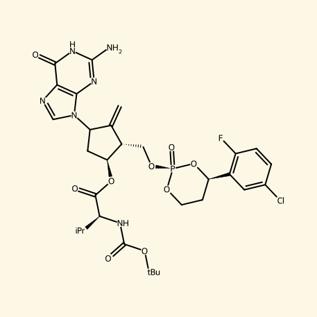 C=C1C(n2cnc3c(=O)[nH]c(N)nc32)C[C@H](OC(=O)[C@@H](NC(=O)OC(C)(C)C)C(C)C)[C@H]1CO[P@]1(=O)OCC[C@H](c2cc(Cl)ccc2F)O1